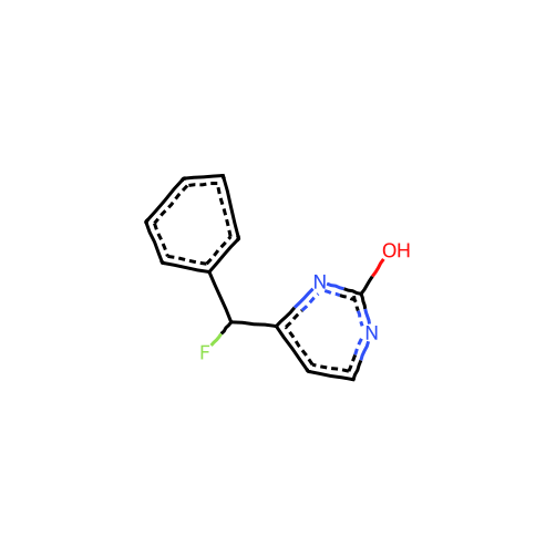 Oc1nccc(C(F)c2ccccc2)n1